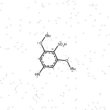 CC(C)(C)Oc1cc([NH])cc(OC(C)(C)C)c1S(=O)(=O)O